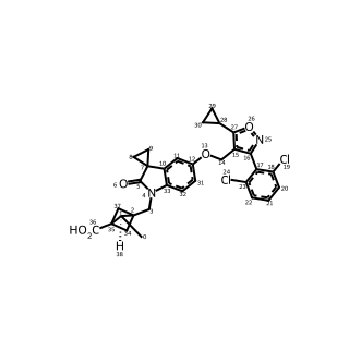 C[C@@H]1C2(CN3C(=O)C4(CC4)c4cc(OCc5c(-c6c(Cl)cccc6Cl)noc5C5CC5)ccc43)CC1(C(=O)O)C2